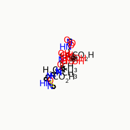 Cc1c(-c2ccc(N3CCc4cccc(C(=O)Nc5nc6ccccc6s5)c4C3)nc2C(=O)O)cnn1CC12CC3(C)CC(C)(C1)CC(OCCN(CC(CO)CO)C(=O)OCc1ccc(CCCNC(=O)CN4C(=O)C=CC4=O)cc1O[C@@H]1O[C@H](C(=O)O)[C@@H](O)[C@H](O)[C@H]1O)(C3)C2